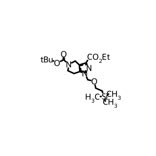 CCOC(=O)c1nn(COCC[Si](C)(C)C)c2c1CN(C(=O)OC(C)(C)C)CC2